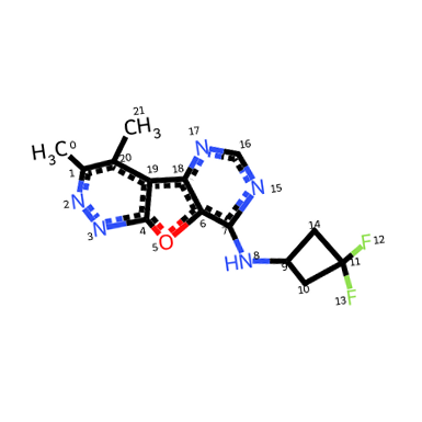 Cc1nnc2oc3c(NC4CC(F)(F)C4)ncnc3c2c1C